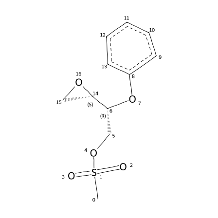 CS(=O)(=O)OC[C@@H](Oc1ccccc1)[C@@H]1CO1